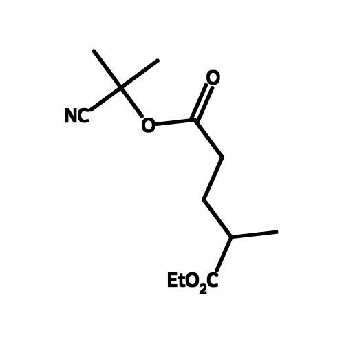 CCOC(=O)C(C)CCC(=O)OC(C)(C)C#N